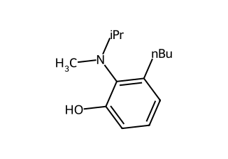 CCCCc1cccc(O)c1N(C)C(C)C